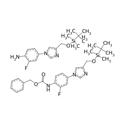 CC(C)(C)[Si](C)(C)OCc1cn(-c2ccc(N)c(F)c2)cn1.CC(C)(C)[Si](C)(C)OCc1cn(-c2ccc(NC(=O)OCc3ccccc3)c(F)c2)cn1